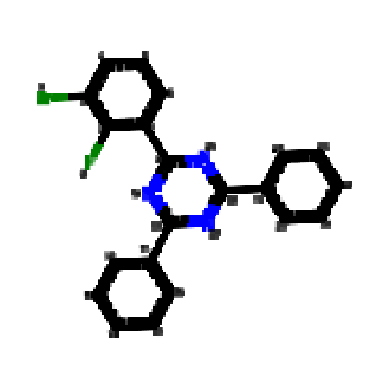 Fc1c(Br)cccc1-c1nc(-c2ccccc2)nc(-c2ccccc2)n1